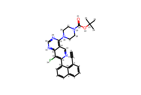 C#Cc1cccc2cccc(-c3ncc4c(N5CCN(C(=O)OC(C)(C)C)CC5)ncnc4c3F)c12